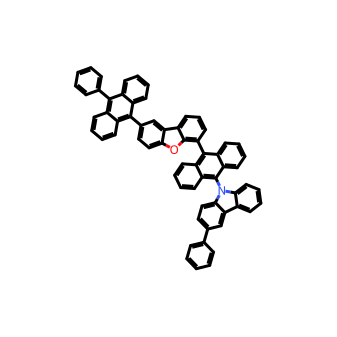 c1ccc(-c2ccc3c(c2)c2ccccc2n3-c2c3ccccc3c(-c3cccc4c3oc3ccc(-c5c6ccccc6c(-c6ccccc6)c6ccccc56)cc34)c3ccccc23)cc1